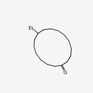 CCC1CCCCCCCCC(=O)CCCCCC1